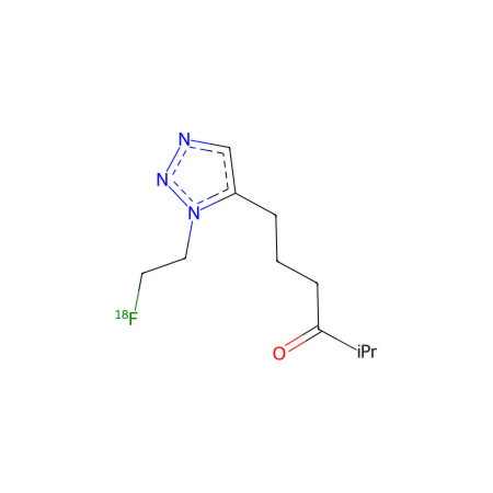 CC(C)C(=O)CCCc1cnnn1CC[18F]